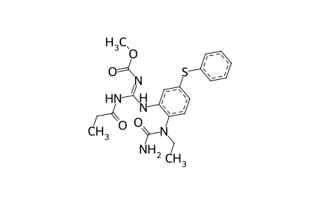 CCC(=O)NC(=NC(=O)OC)Nc1cc(Sc2ccccc2)ccc1N(CC)C(N)=O